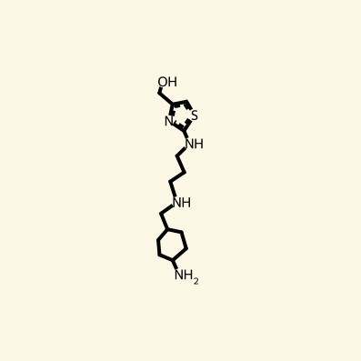 NC1CCC(CNCCCNc2nc(CO)cs2)CC1